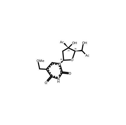 COCc1cn([C@H]2C[C@@](O)(C(C)=O)[C@@H](C(O)C(C)=O)O2)c(=O)[nH]c1=O